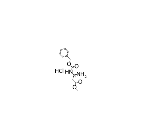 COC(=O)C[C@H](N)NC(=O)OCc1ccccc1.Cl